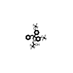 OC(CNCC(Cc1ccccc1)(c1cccc(OC(F)(F)F)c1)c1cccc(OC(F)(F)F)c1)C(F)(F)F